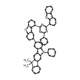 CC1(C)c2ccccc2-c2cc3c(cc21)c1cc(-c2ccc4oc5cccc(-c6nc(-c7ccccc7)nc(-c7cccc8c7oc7ccccc78)n6)c5c4c2)ccc1n3-c1ccccc1